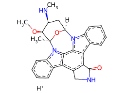 CN[C@H]1C[C@@H]2O[C@](C)([C@H]1OC)n1c3ccccc3c3c4c(c5c6ccccc6n2c5c31)C(=O)NC4.[H+]